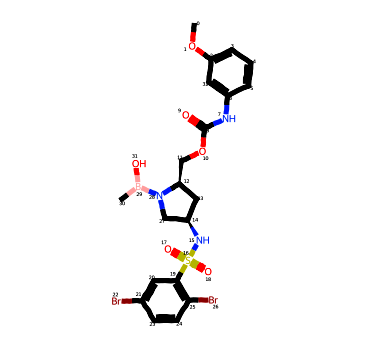 COc1cccc(NC(=O)OC[C@H]2C[C@@H](NS(=O)(=O)c3cc(Br)ccc3Br)CN2B(C)O)c1